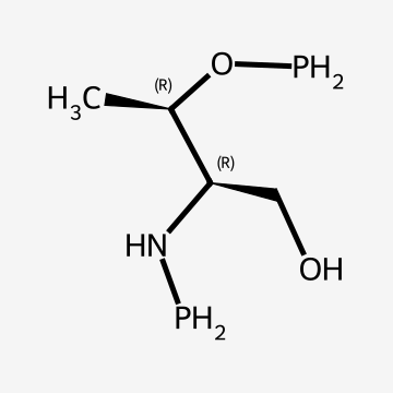 C[C@@H](OP)[C@@H](CO)NP